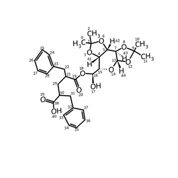 CC1(C)O[C@@H]2[C@H](O1)[C@H]1OC(C)(C)O[C@@H]1O[C@@H]2[C@@H](O)OC(=O)C(Cc1ccccc1)CC(Cc1ccccc1)C(=O)O